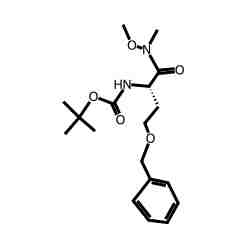 CON(C)C(=O)[C@H](CCOCc1ccccc1)NC(=O)OC(C)(C)C